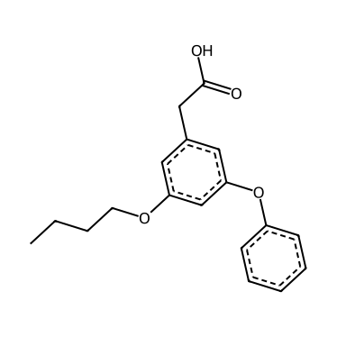 CCCCOc1cc(CC(=O)O)cc(Oc2ccccc2)c1